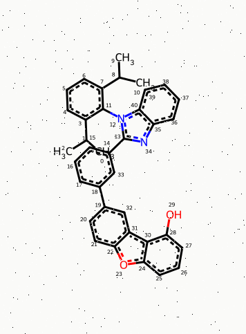 CC(C)c1cccc(C(C)C)c1-n1c(-c2cccc(-c3ccc4oc5cccc(O)c5c4c3)c2)nc2ccccc21